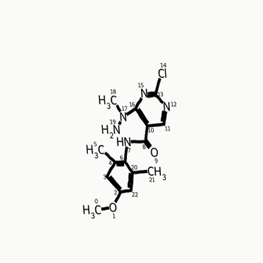 COc1cc(C)c(NC(=O)c2cnc(Cl)nc2N(C)N)c(C)c1